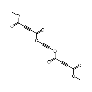 COC(=O)C#CC(=O)OC#COC(=O)C#CC(=O)OC